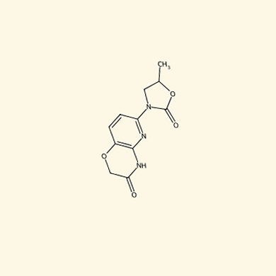 CC1CN(c2ccc3c(n2)NC(=O)CO3)C(=O)O1